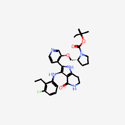 CCc1c(F)cccc1Nc1c(-c2ccncc2OC[C@H]2CCCN2C(=O)OC(C)(C)C)[nH]c2c1C(=O)NCC2